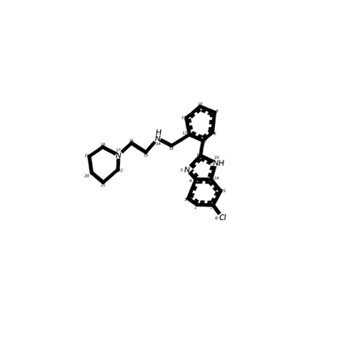 Clc1ccc2nc(-c3ccccc3CNCCN3CCCCC3)[nH]c2c1